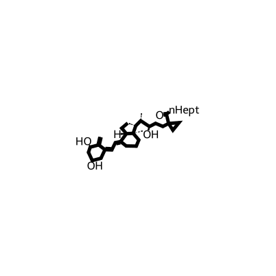 C=C1/C(=C\C=C2/CCC[C@]3(C)[C@@H]([C@H](C)[C@H](O)CCC4(C(=O)CCCCCCC)CC4)CC[C@@H]23)C[C@@H](O)C[C@@H]1O